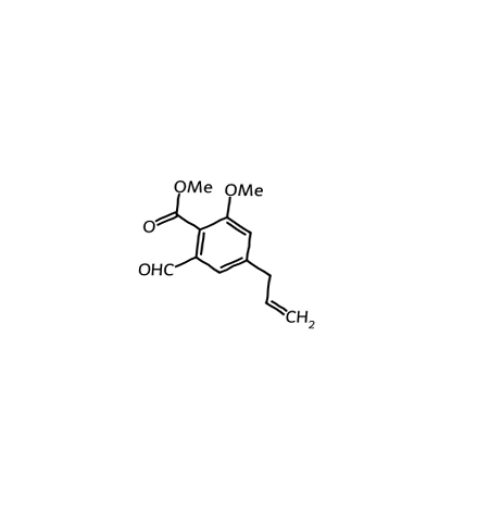 C=CCc1cc(C=O)c(C(=O)OC)c(OC)c1